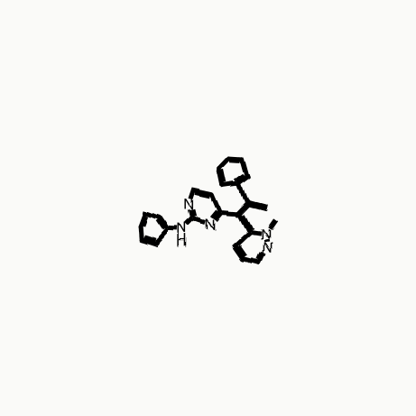 C=C(/C(=C1/C=CC=NN1C)c1ccnc(Nc2ccccc2)n1)c1ccccc1